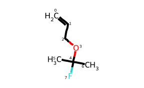 C=CCOC(C)(C)F